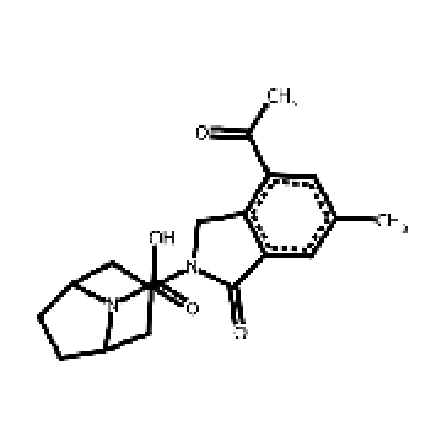 CC(=O)c1cc(C)cc2c1CN(C1CC3CCC(C1)N3C(=O)O)C2=O